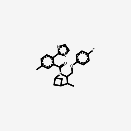 Cc1ccc(-c2nccs2)c(C(=O)N2C3CC(C3)C(C)C2COc2ccc(F)cc2)c1